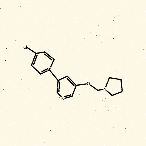 Clc1ccc(-c2cncc(OCN3CCCC3)c2)cc1